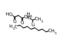 CCCCCCCCCC.O=C(O)CC(=O)O.[Li][CH](C)C